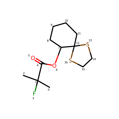 CC(C)(F)C(=O)OC1CCCCC12SCCS2